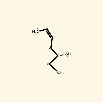 C/C=C\C[C@H](S)CC